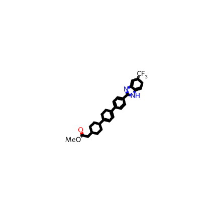 COC(=O)CC1CCC(C2=CC=C(c3ccc(-c4nc5c([nH]4)=CCC(C(F)(F)F)C=5)cc3)CC2)CC1